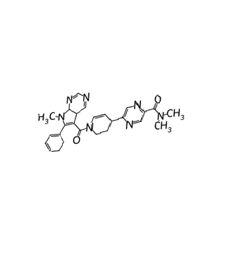 CN(C)C(=O)c1cnc(C2C=CN(C(=O)C3=C(C4=CC=CCC4)N(C)C4N=CN=CC34)CC2)cn1